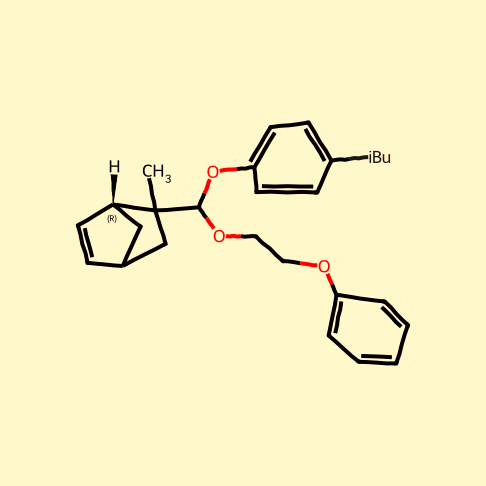 CCC(C)c1ccc(OC(OCCOc2ccccc2)C2(C)CC3C=C[C@H]2C3)cc1